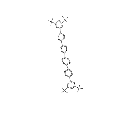 CC(C)(C)c1cc(-c2ccc(-c3ccc(-c4ccc(-c5ccc(-c6cc(C(C)(C)C)cc(C(C)(C)C)c6)cc5)cc4)cc3)cc2)cc(C(C)(C)C)c1